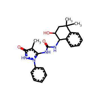 Cc1c(NC(=O)NC2c3ccccc3C(C)(C)CC2O)n(-c2ccccc2)[nH]c1=O